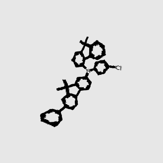 CC1(C)c2cc(-c3ccccc3)ccc2-c2ccc(N(c3ccc(Cl)cc3)c3cccc4c3-c3ccccc3C4(C)C)cc21